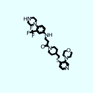 O=C(CCNc1ccc(N2CCNCC2)c(C(F)(F)F)c1)N1CCC(CSc2ccncc2N2CCOCC2)CC1